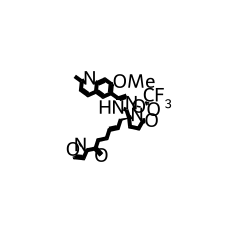 COc1cc2nc(C)ccc2cc1-c1cnc([C@@]2(C/C=C/CCC(=O)c3ccon3)CCC(=O)N2OC(=O)C(F)(F)F)[nH]1